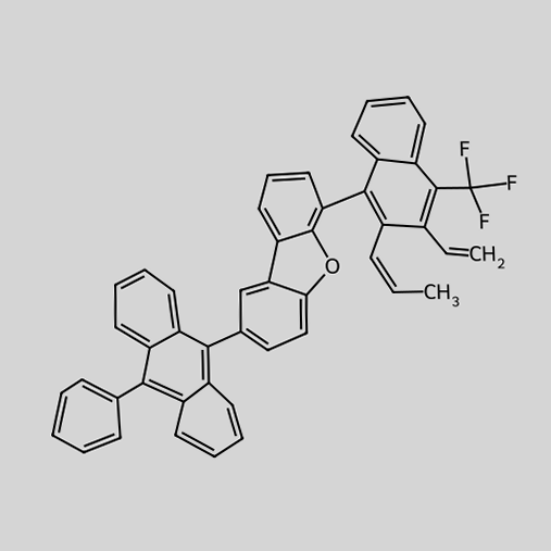 C=Cc1c(/C=C\C)c(-c2cccc3c2oc2ccc(-c4c5ccccc5c(-c5ccccc5)c5ccccc45)cc23)c2ccccc2c1C(F)(F)F